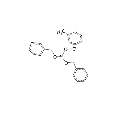 Cc1ccccc1.ClOP(OCc1ccccc1)OCc1ccccc1